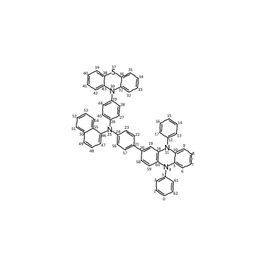 c1ccc(N2c3ccccc3N(c3ccccc3)c3cc(-c4ccc(N(c5ccc(N6c7ccccc7Sc7ccccc76)cc5)c5cccc6ccccc56)cc4)ccc32)cc1